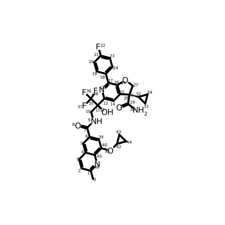 Cc1ccc2cc(C(=O)NCC(O)(c3cc4c(c(-c5ccc(F)cc5)n3)OC[C@@]4(C(N)=O)C3CC3)C(F)(F)F)cc(OC3CC3)c2n1